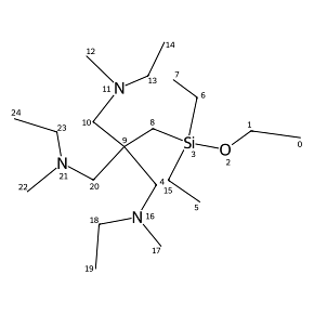 CCO[Si](CC)(CC)CC(CN(C)CC)(CN(C)CC)CN(C)CC